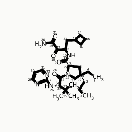 CCC[C@@]1(CC)C[C@@H](C(=O)NC(CC2CCC2)C(=O)C(N)=O)N(C(=O)[C@@H](Nc2ncccn2)C(C)(C)C)C1